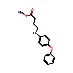 CC(C)(C)OC(=O)CCCNc1ccc(Oc2ccccc2)cc1